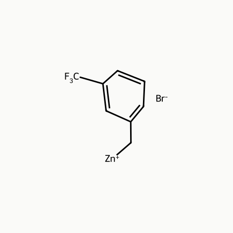 FC(F)(F)c1cccc([CH2][Zn+])c1.[Br-]